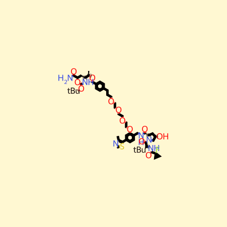 Cc1ncsc1-c1ccc(CNC(=O)[C@@H]2C[C@@H](O)CN2C(=O)[C@@H](NC(=O)C2(F)CC2)C(C)(C)C)c(OCCOCCOCCOCCCc2ccc(CO[C@H](C)[C@H](CCC(N)=O)NC(=O)OC(C)(C)C)cc2)c1